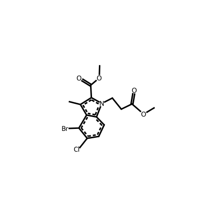 COC(=O)CCn1c(C(=O)OC)c(C)c2c(Br)c(Cl)ccc21